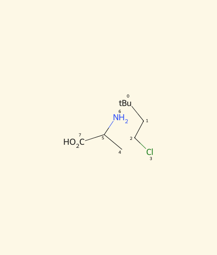 CC(C)(C)CCCl.CC(N)C(=O)O